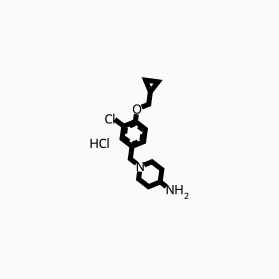 Cl.NC1CCN(Cc2ccc(OCC3CC3)c(Cl)c2)CC1